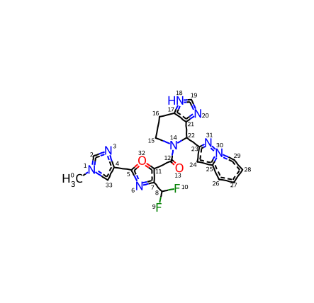 Cn1cnc(-c2nc(C(F)F)c(C(=O)N3CCc4[nH]cnc4C3c3cc4ccccn4n3)o2)c1